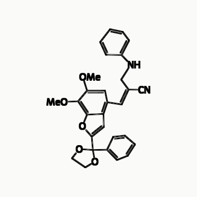 COc1cc(C=C(C#N)CNc2ccccc2)c2cc(C3(c4ccccc4)OCCO3)oc2c1OC